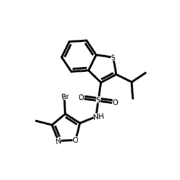 Cc1noc(NS(=O)(=O)c2c(C(C)C)sc3ccccc23)c1Br